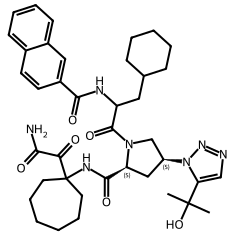 CC(C)(O)c1cnnn1[C@H]1C[C@@H](C(=O)NC2(C(=O)C(N)=O)CCCCCC2)N(C(=O)C(CC2CCCCC2)NC(=O)c2ccc3ccccc3c2)C1